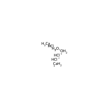 Cl.Cl.Cl.O.O.[CaH2].[CaH2]